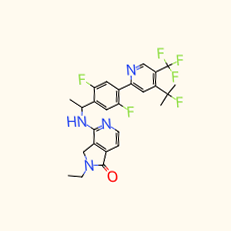 CCN1Cc2c(ccnc2NC(C)c2cc(F)c(-c3cc(C(C)(C)F)c(C(F)(F)F)cn3)cc2F)C1=O